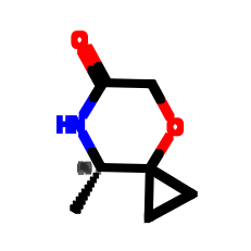 C[C@@H]1NC(=O)COC12CC2